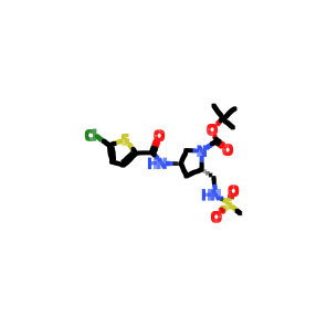 CC(C)(C)OC(=O)N1C[C@H](NC(=O)c2ccc(Cl)s2)C[C@H]1CNS(C)(=O)=O